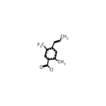 CC=Cc1cc(C)c(C(=O)Cl)cc1C(F)(F)F